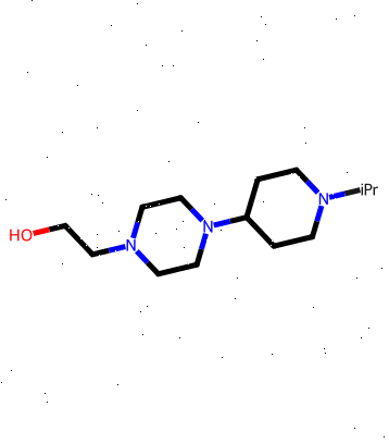 CC(C)N1CCC(N2CCN(CCO)CC2)CC1